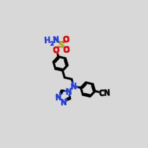 N#Cc1ccc(N(CCc2ccc(OS(N)(=O)=O)cc2)n2cnnc2)cc1